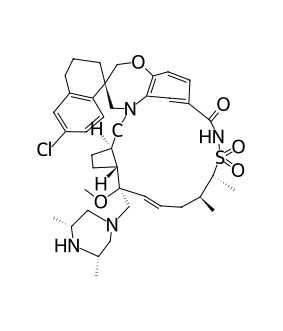 CO[C@]1(CN2C[C@@H](C)N[C@@H](C)C2)/C=C/C[C@H](C)[C@@H](C)S(=O)(=O)NC(=O)c2ccc3c(c2)N(C[C@@H]2CC[C@H]21)C[C@@]1(CCCc2cc(Cl)ccc21)CO3